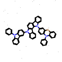 c1ccc(N2c3ccccc3Sc3cc(-n4c5ccccc5c5ccc6c(c7ccccc7n6-c6ccc7c(c6)c6ccccc6n7-c6ccccc6)c54)ccc32)cc1